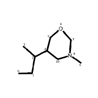 CCC(C)C1COCN(C)C1